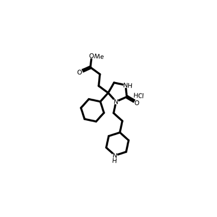 COC(=O)CCC1(C2CCCCC2)CNC(=O)N1CCC1CCNCC1.Cl